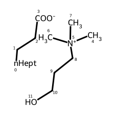 CCCCCCCCCC(=O)[O-].C[N+](C)(C)CCCO